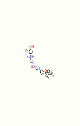 CC(C)(C)Oc1cccc(N2CCN(C(=O)CN3CC[C@@H](C(=O)Nc4ccc(O)c(Cl)c4)C3)CC2)c1